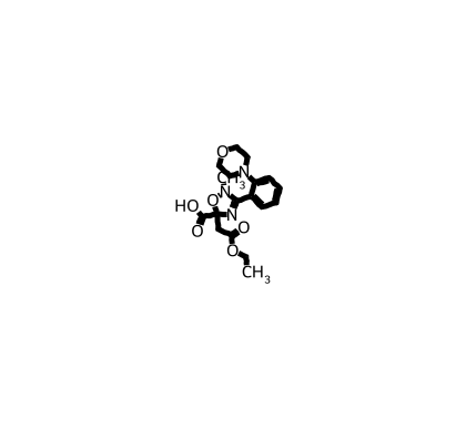 CCOC(=O)CC1(C(=O)O)N=C(c2ccccc2N2CCOCC2)N(C)O1